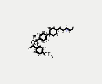 C/C=C/CCC1CCC(c2ccc(C(F)(F)OC(C)c3ccc(C(F)(F)F)cc3)cc2)CC1